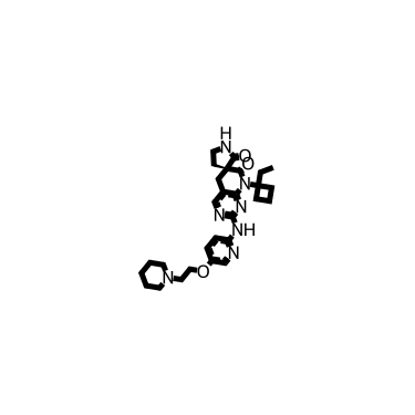 CCC1(N2C(=O)[C@]3(CCNC3=O)Cc3cnc(Nc4ccc(OCCN5CCCCC5)cn4)nc32)CCC1